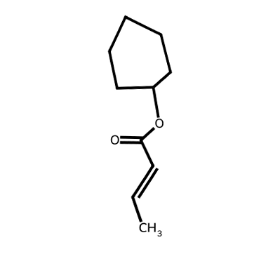 CC=CC(=O)OC1CCCCC1